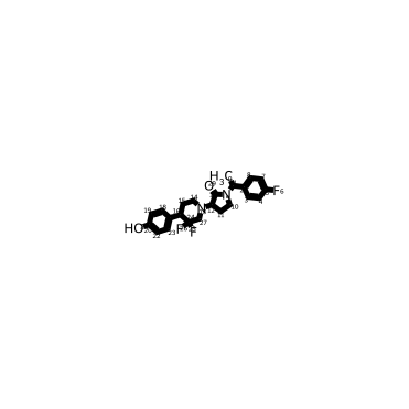 CC(c1ccc(F)cc1)N1CCC(N2CCC(c3ccc(O)cc3)C(F)(F)C2)C1=O